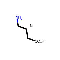 NCCCC(=O)O.[Ni]